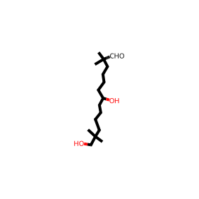 CC(C)(C=O)CCCCC(O)CCCCC(C)(C)CO